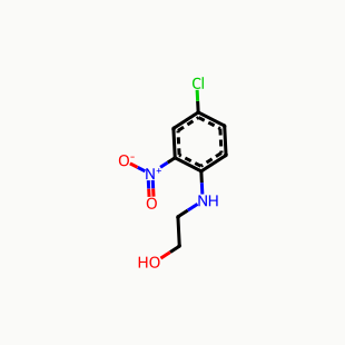 O=[N+]([O-])c1cc(Cl)ccc1NCCO